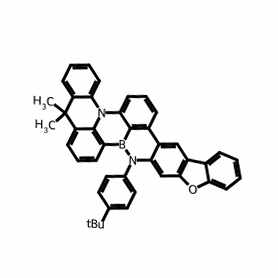 CC(C)(C)c1ccc(N2B3c4cccc5c4N(c4ccccc4C5(C)C)c4cccc(c43)-c3cc4c(cc32)oc2ccccc24)cc1